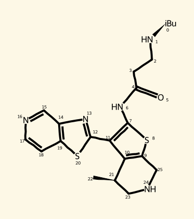 CC[C@H](C)NCCC(=O)Nc1sc2c(c1-c1nc3cnccc3s1)[C@H](C)CNC2